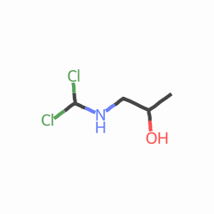 CC(O)CNC(Cl)Cl